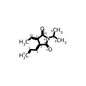 C=C/C=C1/C(=O)N(C(C)C)C(=O)/C1=C/C